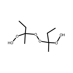 CCC(C)(OO)OOC(C)(CC)OO